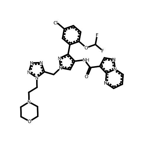 O=C(Nc1cn(Cc2nnnn2CCN2CCOCC2)nc1-c1cc(Cl)ccc1OC(F)F)c1cnn2cccnc12